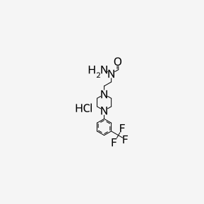 Cl.NN(C=O)CCN1CCN(c2cccc(C(F)(F)F)c2)CC1